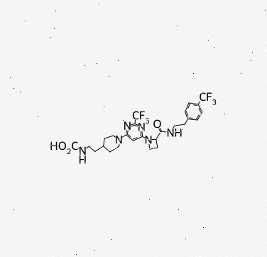 O=C(O)NCCC1CCN(c2cc(N3CCC3C(=O)NCCc3ccc(C(F)(F)F)cc3)nc(C(F)(F)F)n2)CC1